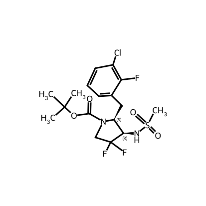 CC(C)(C)OC(=O)N1CC(F)(F)[C@H](NS(C)(=O)=O)[C@@H]1Cc1cccc(Cl)c1F